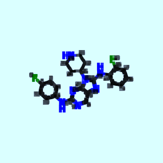 Fc1ccc(Nc2ncc3nc(Nc4ccccc4F)n(C4CCNCC4)c3n2)cc1